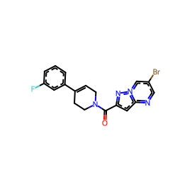 O=C(c1cc2ncc(Br)cn2n1)N1CC=C(c2cccc(F)c2)CC1